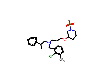 CC(CN(CCCOC1CCCN(S(C)(=O)=O)C1)Cc1cccc(C(F)(F)F)c1Cl)c1ccccc1